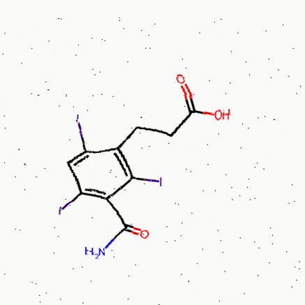 NC(=O)c1c(I)cc(I)c(CCC(=O)O)c1I